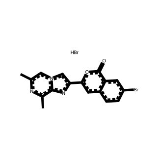 Br.Cc1cn2cc(-c3cc4ccc(Br)cc4c(=O)o3)nc2c(C)n1